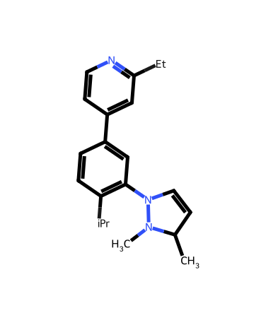 CCc1cc(-c2ccc(C(C)C)c(N3C=CC(C)N3C)c2)ccn1